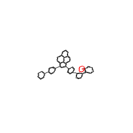 c1ccc(-c2ccc(-c3cc(-c4ccc(-c5cccc6c5oc5ccccc56)cc4)c4ccc5cccc6ccc3c4c65)cc2)cc1